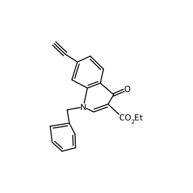 C#Cc1ccc2c(=O)c(C(=O)OCC)cn(Cc3ccccc3)c2c1